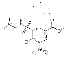 COC(=O)c1cc([N+](=O)[O-])c(Cl)c(S(=O)(=O)NCN(C)C)c1